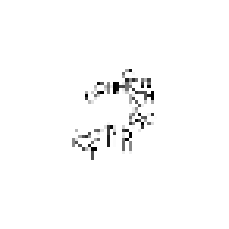 Cc1ncc(F)c2c1CC(CNC[C@@H](O)[C@H]1CN(c3cnc4c(n3)NC(=O)CO4)C(=O)O1)C2.O=CO